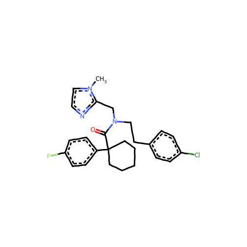 Cn1ccnc1CN(CCc1ccc(Cl)cc1)C(=O)C1(c2ccc(F)cc2)CCCCC1